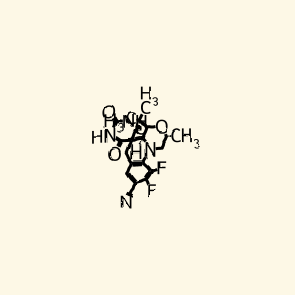 CC(C)C1O[C@H](C)CN2c3c(cc(C#N)c(F)c3F)CC3(C(=O)NC(=O)NC3=O)[C@@H]12